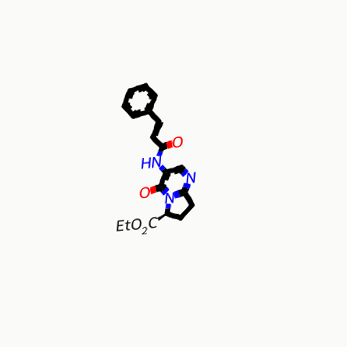 CCOC(=O)[C@@H]1CCc2ncc(NC(=O)/C=C/c3ccccc3)c(=O)n21